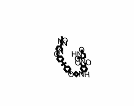 Cc1nc(-c2ccc(Oc3ccc(C(C)(C)c4ccc(O[C@H]5C[C@H](Nc6ccc7c(c6)C(=O)N(C6CCC(=O)NC6=O)C7=O)C5)cc4)cc3)nc2)no1